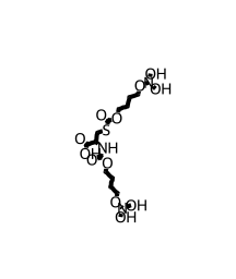 O=C(NC(CSC(=O)OCCCCON(O)O)C(=O)O)OCCCCON(O)O